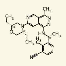 CC[C@@H]1CN(c2cc3c(N[C@H](C)c4cccc(C#N)c4C)nnc(C)c3cn2)[C@H](CC)CO1